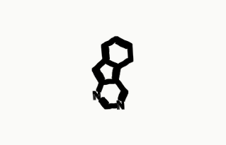 C1=CCC2=c3cncnc3=CC2=C1